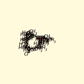 CC(=O)N[C@@H](CC(C)C)C(=O)N[C@H](C(=O)C(=O)[C@H](Cc1ccccc1)NN[C@]1(C)CCCCCC/C=C/CCC[C@@](C)(C(=O)N[C@@H](CO)C(=O)CN[C@@H](C)C(=O)CCN[C@@H](C)C(=O)CN)NC(=O)[C@H](CC(C)C)NN[C@@H](CCC(N)=O)C(=O)CN[C@@H](C)C(=O)CC(=O)[C@H](Cc2c[nH]c3cc(Cl)ccc23)NC(=O)[C@H](Cc2ccc(O)cc2)NCC(=O)[C@H](C)NCC1=O)[C@@H](C)O